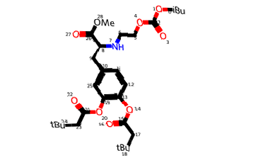 CCC(C)OC(=O)OCCN[C@@H](Cc1ccc(OC(=O)CC(C)(C)C)c(OC(=O)CC(C)(C)C)c1)C(=O)OC